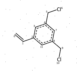 C=Cc1cc(CCl)cc(CCl)c1